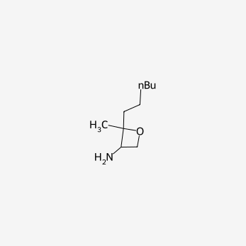 CCCCCCC1(C)OCC1N